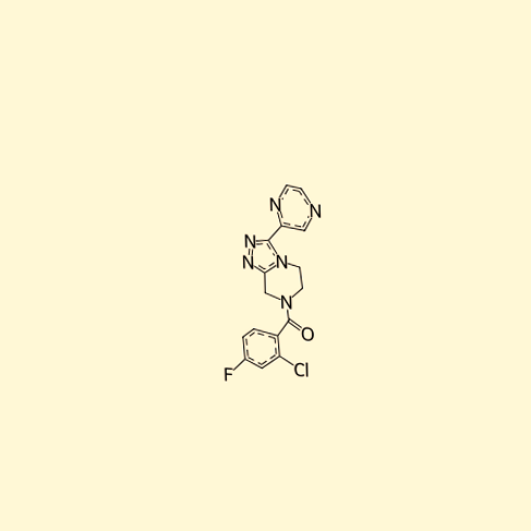 O=C(c1ccc(F)cc1Cl)N1CCn2c(nnc2-c2cnccn2)C1